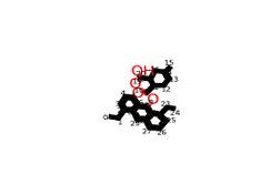 CCc1cccc2c(OC(=O)C3CC=C(C)CC3C(=O)O)c3c(CC)cccc3cc12